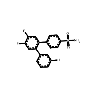 NS(=O)(=O)c1ccc(-c2cc(F)c(F)cc2-c2cccc(Cl)c2)cc1